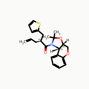 C=CC[C@@H](Cc1cccs1)C(=O)N1[C@H]2c3ccccc3OC[C@H]2OC1(C)C